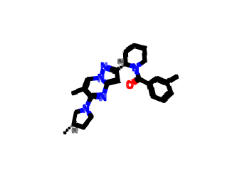 Cc1cccc(C(=O)N2CCCC[C@H]2c2cc3nc(N4CC[C@H](C)C4)c(C)cn3n2)c1